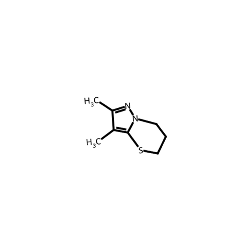 Cc1nn2c(c1C)SCCC2